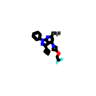 O=C(O)c1cc(N2CC(OCC(F)F)C2)c2c(C3CCC3)nn(-c3ccccc3)c2n1